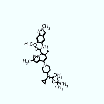 COc1cc2nn(C)cc2cc1NC(=O)c1c(F)cc(N2CCC(N(C(=O)OC(C)(C)C)C3CC3)CC2)c2cc(C)nn12